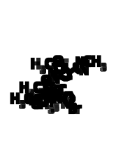 CC(=O)c1nn(CC(=O)N2[C@H](C(=O)Nc3nc(Br)ccc3C)C[C@](C)(CN(C)C)[C@H]2C)c2ccc(-c3cnc(C)nc3)c(F)c12